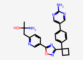 CC(N)(O)Cc1ccc(-c2nc(C3(c4ccc(-c5cnc(N)nc5)cc4)CCC3)no2)cn1